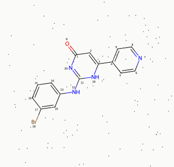 O=c1cc(-c2ccncc2)[nH]c(Nc2cccc(Br)c2)n1